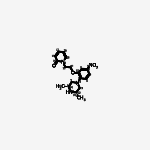 C[C@@H]1CN(c2ccc([N+](=O)[O-])cc2OCCn2ccccc2=O)C[C@H](C)N1